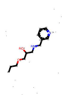 CCCOCC(O)CNCc1cccnc1